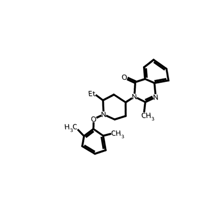 CCC1CC(n2c(C)nc3ccccc3c2=O)CCN1Oc1c(C)cccc1C